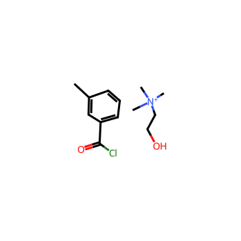 C[N+](C)(C)CCO.Cc1cccc(C(=O)Cl)c1